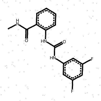 CNC(=O)c1ccccc1NC(=O)Nc1cc(F)cc(F)c1